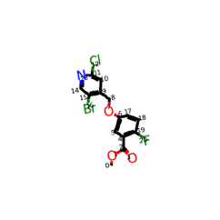 COC(=O)c1cc(OCc2cc(Cl)ncc2Br)ccc1F